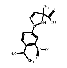 CC(C)c1ccc(N2N=CC(C)(C(=O)O)N2)cc1[N+](=O)[O-]